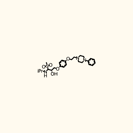 CC(C)NC([C@@H](O)COc1ccc(OCCN2CCN(c3ccccc3)CC2)cc1)S(C)(=O)=O